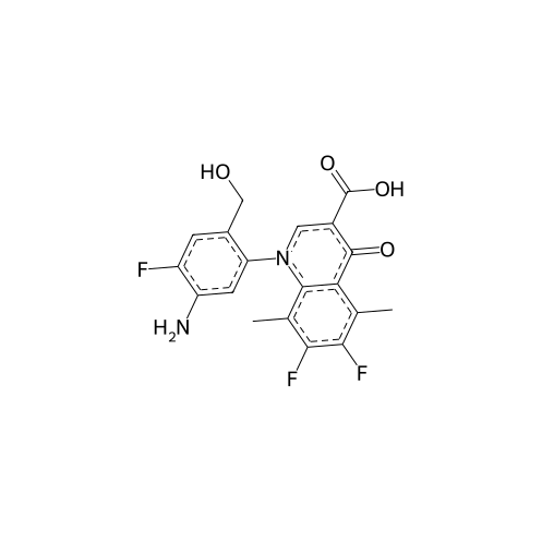 Cc1c(F)c(F)c(C)c2c1c(=O)c(C(=O)O)cn2-c1cc(N)c(F)cc1CO